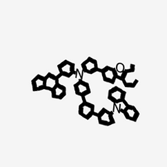 C=Cc1oc2cc(-c3cccc(N(c4ccc(-c5cccc(-c6cccc(-n7c8ccccc8c8ccccc87)c6)c5)cc4)c4cccc(-c5cc6ccccc6c6ccccc56)c4)c3)ccc2c1/C=C\C